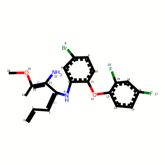 C=C/C=C(Nc1cc(Br)ccc1Oc1ccc(F)cc1F)\C(N)=C(/C)OC